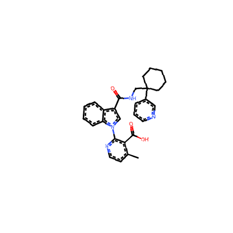 Cc1ccnc(-n2cc(C(=O)NCC3(c4cccnc4)CCCCC3)c3ccccc32)c1C(=O)O